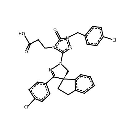 O=C(O)CCn1c(N2C[C@@]3(CCc4ccccc43)C(c3ccc(Cl)cc3)=N2)nn(Cc2ccc(Cl)cc2)c1=O